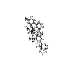 CO[C@H]1CCC[C@H]1N(C)Cc1cc(C(F)(F)F)c2oc(-c3cccc(-c4ccc(F)cc4-c4nncn4C)c3)nc2c1